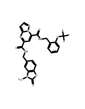 Cn1c(=O)oc2ccc(CNC(=O)c3cc(C(=O)NCc4ccccc4OC(F)(F)F)n4nccc4n3)cc21